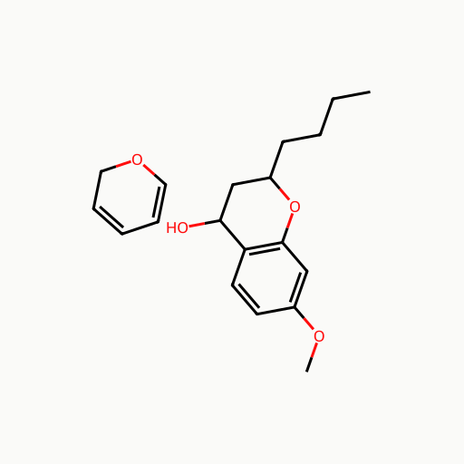 C1=CCOC=C1.CCCCC1CC(O)c2ccc(OC)cc2O1